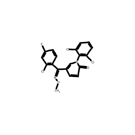 CO/N=C(\c1ccc(=O)n(-c2c(Cl)cccc2Cl)c1)c1ccc(F)cc1Cl